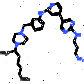 CC(=O)NCCCCC(C(=O)O)N1CCN(Cc2cccc(Nc3cc(-c4cnc(NCCCN)nc4)ccn3)c2)CC1